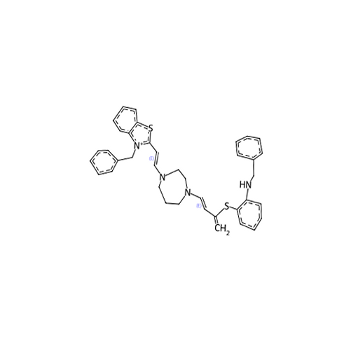 C=C(/C=C/N1CCCN(/C=C/c2sc3ccccc3[n+]2Cc2ccccc2)CC1)Sc1ccccc1NCc1ccccc1